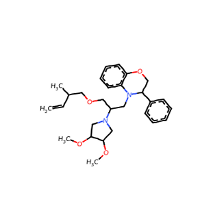 C=CC(C)COCC(CN1c2ccccc2OCC1c1ccccc1)N1CC(OC)C(OC)C1